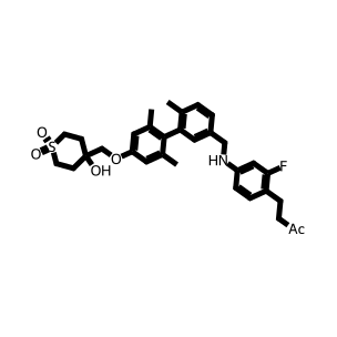 CC(=O)CCc1ccc(NCc2ccc(C)c(-c3c(C)cc(OCC4(O)CCS(=O)(=O)CC4)cc3C)c2)cc1F